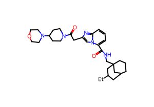 CCC1CC2CCCC(CNC(=O)c3cccc4nc(CC(=O)N5CCC(N6CCOCC6)CC5)cn34)(C1)C2